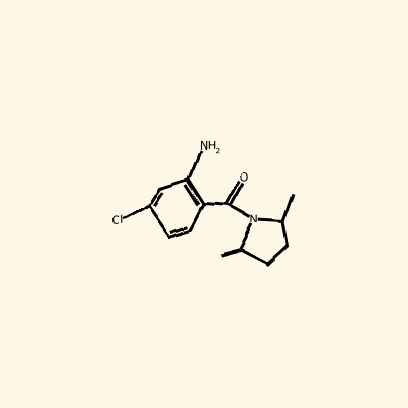 CC1CCC(C)N1C(=O)c1ccc(Cl)cc1N